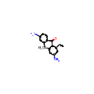 C=Cc1cc(N)c[c]2c1C(=O)c1ccc(N)c[c]1[GeH2]2